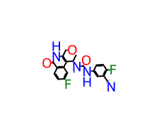 CN(C(=O)Nc1ccc(F)c(C#N)c1)C1COCc2[nH]c(=O)c3ccc(F)cc3c21